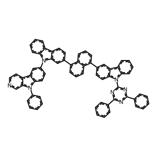 c1ccc(-c2nc(-c3ccccc3)nc(-n3c4ccccc4c4cc(-c5cccc6c(-c7ccc8c9ccccc9n(-c9ccc%10c(c9)c9ccncc9n%10-c9ccccc9)c8c7)cccc56)ccc43)n2)cc1